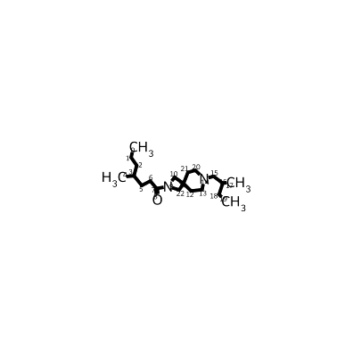 CCCC(C)CCC(=O)N1CC2(CCN(CC(C)CC)CC2)C1